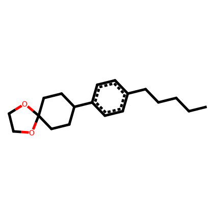 CCCCCc1ccc(C2CCC3(CC2)OCCO3)cc1